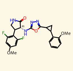 COc1cc(F)c(C2CNC(=O)[C@@H]2Nc2nnc(C3CC3c3ccccc3OC)o2)c(F)c1